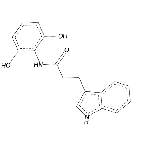 O=C(CCc1c[nH]c2ccccc12)Nc1c(O)cccc1O